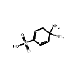 NC1(N)C=CC(S(=O)(=O)O)=CC1